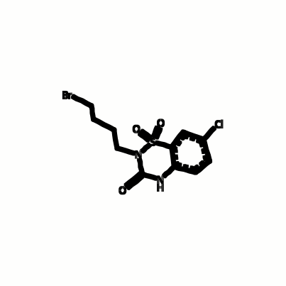 O=C1Nc2ccc(Cl)cc2S(=O)(=O)N1CCCCBr